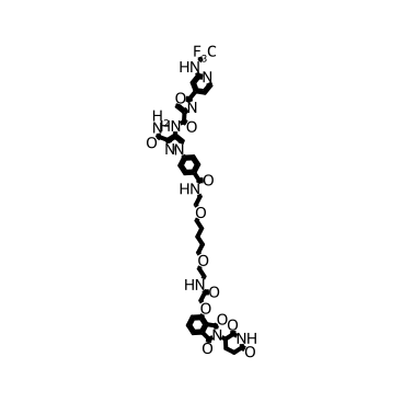 NC(=O)c1nn(-c2ccc(C(=O)NCCOCCCCCOCCNC(=O)COc3cccc4c3C(=O)N(C3CCC(=O)NC3=O)C4=O)cc2)cc1NC(=O)c1coc(-c2ccnc(NCC(F)(F)F)c2)n1